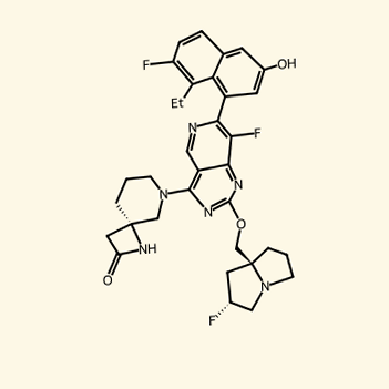 CCc1c(F)ccc2cc(O)cc(-c3ncc4c(N5CCC[C@]6(CC(=O)N6)C5)nc(OC[C@@]56CCCN5C[C@H](F)C6)nc4c3F)c12